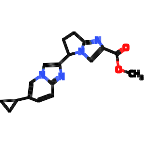 COC(=O)c1cn2c(n1)CCC2c1cn2cc(C3CC3)ccc2n1